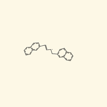 [CH](C=Cc1ccc2ccccc2c1)Cc1ccc2ccccc2c1